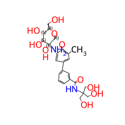 Cc1cc(-c2cccc(C(=O)NC(CO)(CO)CO)c2)ccc1O[C@H]1O[C@H](CO)[C@@H](O)[C@H](O)[C@]1(N)O